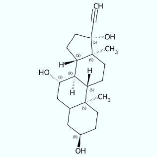 C#C[C@]1(O)CC[C@H]2[C@@H]3[C@@H](O)CC4C[C@H](O)CC[C@]4(C)[C@H]3CC[C@@]21C